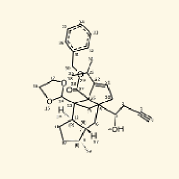 C#CCC(O)C12C[C@@H]3[C@H](C)CC[C@H]3C3(C4OCCO4)CC1C=C(C(C)C)C23C(=O)OCc1ccccc1